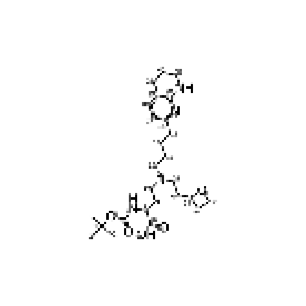 CC(C)(C)OC(=O)NC(CCN(CCCCc1ccc2c(n1)NCCC2)CCC1CCO1)C(=O)O